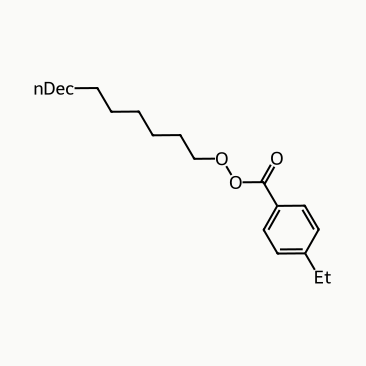 [CH2]CCCCCCCCCCCCCCCOOC(=O)c1ccc(CC)cc1